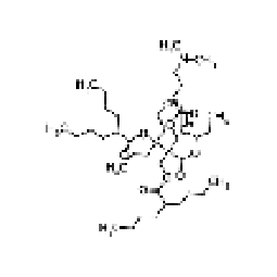 CCCCC(CCCC)C(=O)OCC(COC(=O)CCCN(C)C)(C(=O)OC(C)CC)C(CCC)(CCC)OC(=O)C(CCCC)CCCC